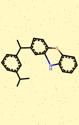 CC(C)c1cccc(C(C)c2ccc3c(c2)Nc2ccccc2S3)c1